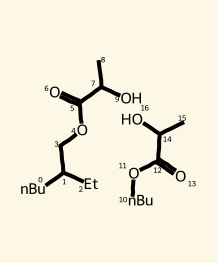 CCCCC(CC)COC(=O)C(C)O.CCCCOC(=O)C(C)O